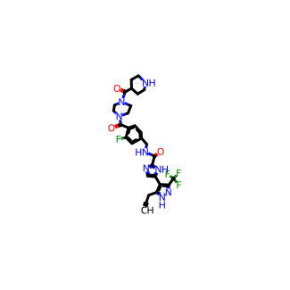 C#CCc1[nH]nc(C(F)(F)F)c1-c1cnc(C(=O)NCc2ccc(C(=O)N3CCN(C(=O)C4CCNCC4)CC3)c(F)c2)[nH]1